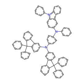 c1ccc(N(c2ccc(N(c3ccc4c(c3)-c3ccccc3C4(c3ccccc3)c3ccccc3)c3ccc4c(c3)-c3ccccc3C4(c3ccccc3)c3ccccc3)cc2)c2ccc3c(c2)c2ccccc2n3-c2ccccc2)cc1